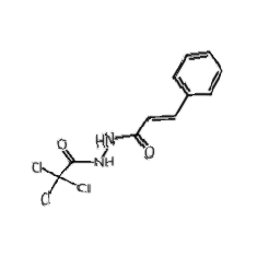 O=C(/C=C/c1ccccc1)NNC(=O)C(Cl)(Cl)Cl